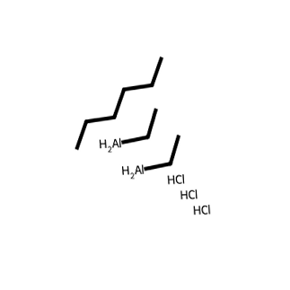 CCCCCC.C[CH2][AlH2].C[CH2][AlH2].Cl.Cl.Cl